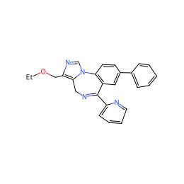 CCOCc1ncn2c1CN=C(c1ccccn1)c1cc(-c3ccccc3)ccc1-2